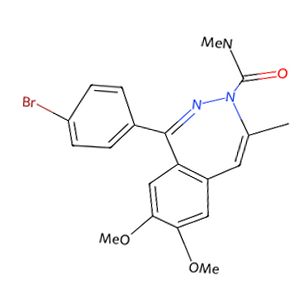 CNC(=O)N1N=C(c2ccc(Br)cc2)c2cc(OC)c(OC)cc2C=C1C